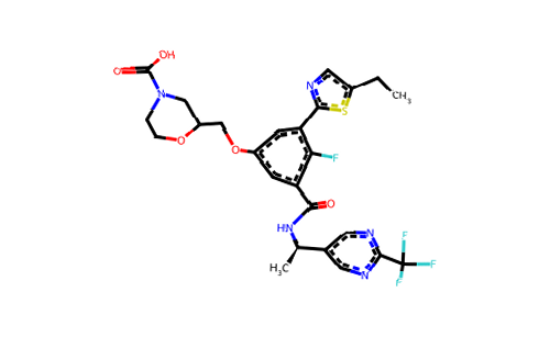 CCc1cnc(-c2cc(OCC3CN(C(=O)O)CCO3)cc(C(=O)N[C@H](C)c3cnc(C(F)(F)F)nc3)c2F)s1